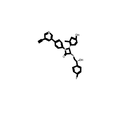 C#Cc1cncc(-c2ccc(N3C(=O)[C@H](SC[C@H](O)c4ccc(F)cc4)[C@H]3c3ccc(O)cc3C)cc2)c1